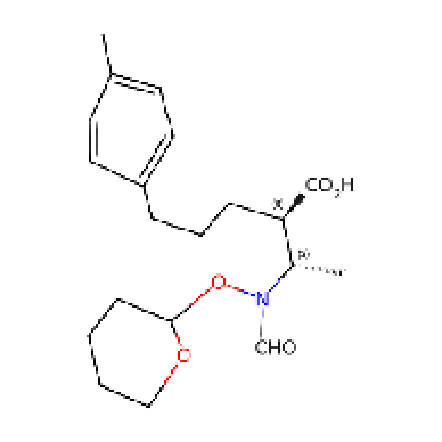 Cc1ccc(CCC[C@@H](C(=O)O)[C@H](C)N(C=O)OC2CCCCO2)cc1